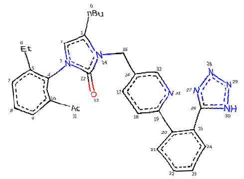 CCCCc1cn(-c2c(CC)cccc2C(C)=O)c(=O)n1Cc1ccc(-c2ccccc2-c2nnn[nH]2)nc1